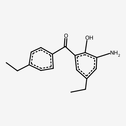 CCc1ccc(C(=O)c2cc(CC)cc(N)c2O)cc1